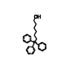 OCCCCCC[P](c1ccccc1)(c1ccccc1)c1ccccc1